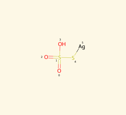 O=S(=O)(O)[S][Ag]